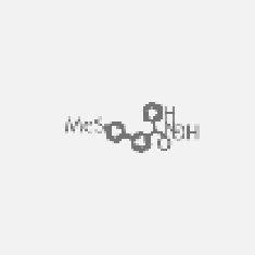 CSc1ccc(-c2cccc(C(C(=O)NO)c3ccccc3)c2)cc1